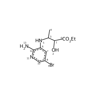 CCOC(=O)C(O)C(C)Nc1cc(Br)cnc1N